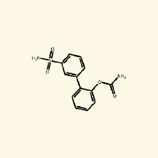 NC(=O)Oc1ccccc1-c1cccc(S(N)(=O)=O)c1